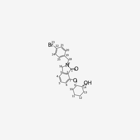 O=C1c2c(cccc2O[C@H]2CCCC[C@@H]2O)CN1Cc1ccc(Br)cc1